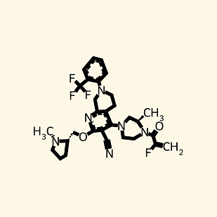 C=C(F)C(=O)N1CCN(c2c(C#N)c(OC[C@@H]3CCCN3C)nc3c2CCN(c2ccccc2C(F)(F)F)C3)C[C@H]1C